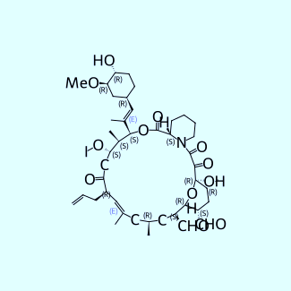 C=CC[C@@H]1/C=C(\C)C[C@H](C)C[C@H](C=O)[C@H]2O[C@@](O)(C(=O)C(=O)N3CCCC[C@H]3C(=O)O[C@H](/C(C)=C/[C@@H]3CC[C@@H](O)[C@H](OC)C3)[C@H](C)[C@@H](OI)CC1=O)[C@H](C)C[C@@H]2C=O